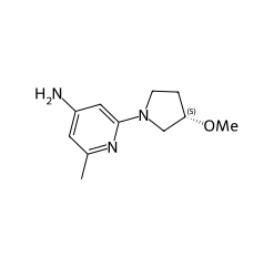 CO[C@H]1CCN(c2cc(N)cc(C)n2)C1